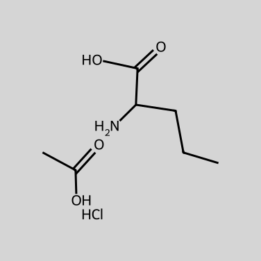 CC(=O)O.CCCC(N)C(=O)O.Cl